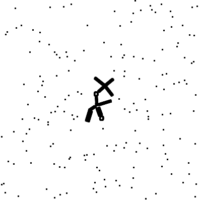 C=CP(C)(=O)OC(C)(C)C